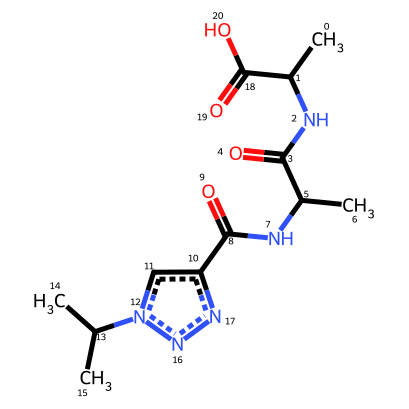 CC(NC(=O)C(C)NC(=O)c1cn(C(C)C)nn1)C(=O)O